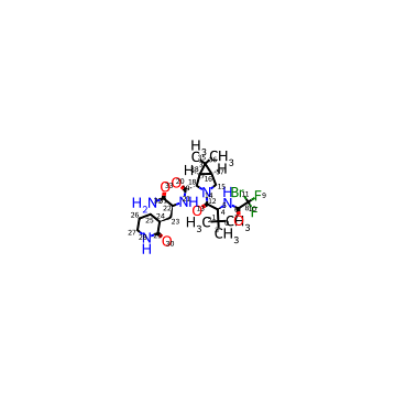 CC(C)(C)[C@H](NC(=O)C(F)(F)Br)C(=O)N1C[C@H]2[C@@H]([C@H]1C(=O)N[C@@H](C[C@@H]1CCCNC1=O)C(N)=O)C2(C)C